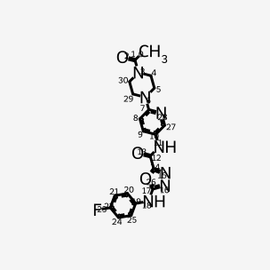 CC(=O)N1CCN(c2ccc(NC(=O)c3nnc(Nc4ccc(F)cc4)o3)cn2)CC1